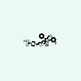 CC(=O)C1(CCCCN2CCN(C(=O)O)CC2)NN2c3cc(F)ccc3OCC2[C@H]1c1ccccc1